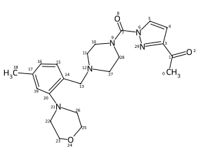 CC(=O)c1ccn(C(=O)N2CCN(Cc3ccc(C)cc3N3CCOCC3)CC2)n1